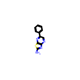 Nc1nc2ncc(-c3ccccc3)nc2s1